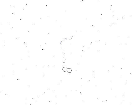 CC/C=C\C/C=C\C/C=C\CCCCCCCC(=O)O[n+]1cccc2ccccc21